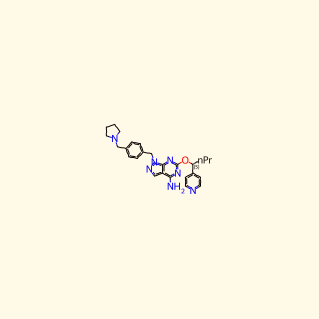 CCC[C@H](Oc1nc(N)c2cnn(Cc3ccc(CN4CCCC4)cc3)c2n1)c1ccncc1